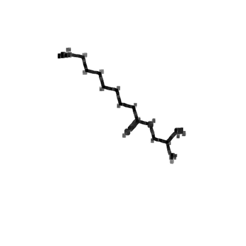 [CH2]C(C)C(C)COC(=O)CCCCCCCCCCCCCCCCC